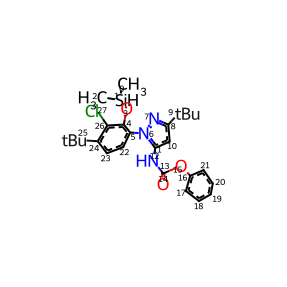 C[SiH](C)Oc1c(-n2nc(C(C)(C)C)cc2NC(=O)Oc2ccccc2)ccc(C(C)(C)C)c1Cl